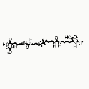 COC(=O)NC(CCCCNC(=O)NCCCC(C)(C)[Si](C)(C)CCCNC(=O)NCCCCC(NC(=O)OC)C(=O)O)C(=O)O